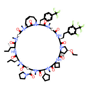 CCC[C@H]1C(=O)N[C@@H]([C@@H](C)CC)C(=O)N(C)CC(=O)N(C)[C@H]2C/C=C\CCN(C2=O)[C@@H](Cc2ccc(C(F)(F)F)cc2)C(=O)N(C)CC(=O)N[C@@H](CCc2cc(F)c(C(F)(F)F)c(F)c2)C(=O)N2C[C@H](OCC)C[C@H]2C(=O)NC2(CCC2)C(=O)N(C)[C@@H](C2CCCC2)C(=O)N(C)[C@H](C(=O)N2CCCC2)CC(=O)N1C